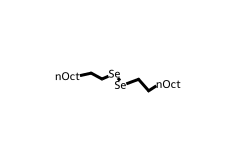 CCCCCCCCCC[Se][Se]CCCCCCCCCC